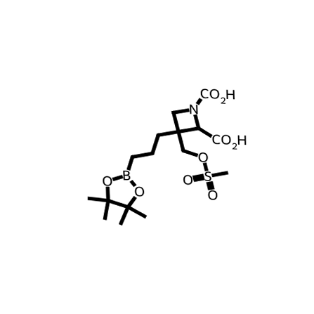 CC1(C)OB(CCCC2(COS(C)(=O)=O)CN(C(=O)O)C2C(=O)O)OC1(C)C